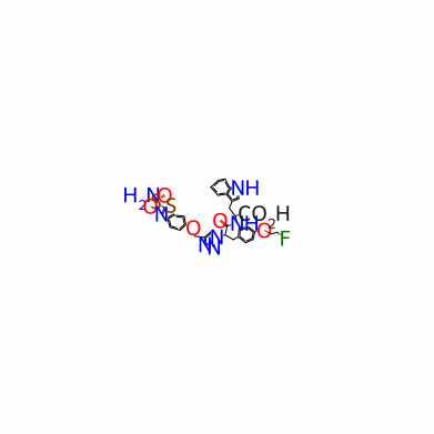 NS(=O)(=O)c1nc2ccc(OCc3cn(C(Cc4ccc(OCCF)cc4)C(=O)NC(Cc4c[nH]c5ccccc45)C(=O)O)nn3)cc2s1